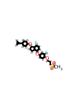 CS(=O)(=O)CCCOc1ccc(Oc2ccc(F)c3c2CCC3Oc2ccc(C3CC3)cc2)cc1F